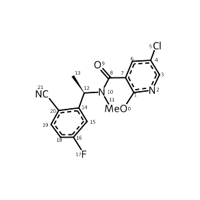 COc1ncc(Cl)cc1C(=O)N(C)[C@H](C)c1cc(F)ccc1C#N